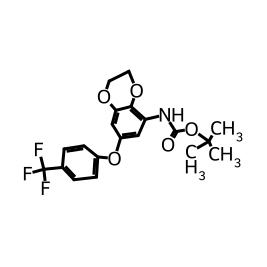 CC(C)(C)OC(=O)Nc1cc(Oc2ccc(C(F)(F)F)cc2)cc2c1OCCO2